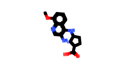 COc1cccc2c(NC3CCC(C(=O)O)C3)c(N)cnc12